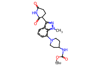 Cn1nc(C2CCC(=O)NC2=O)c2cccc(N3CCC(NC(=O)OC(C)(C)C)CC3)c21